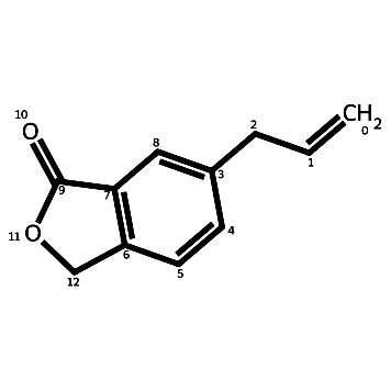 C=CCc1ccc2c(c1)C(=O)OC2